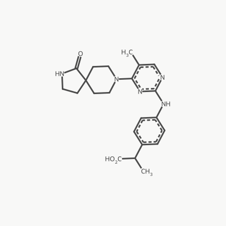 Cc1cnc(Nc2ccc(C(C)C(=O)O)cc2)nc1N1CCC2(CCNC2=O)CC1